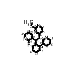 CSc1nccc(CC(c2ccccc2-c2cccnc2)c2cccnc2F)n1